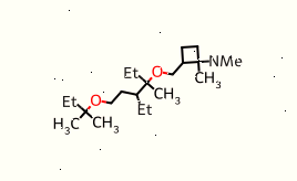 CCC(CCOC(C)(C)CC)C(C)(CC)OCC1CCC1(C)NC